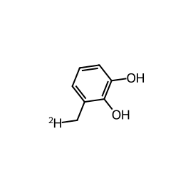 [2H]Cc1cccc(O)c1O